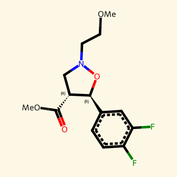 COCCN1C[C@@H](C(=O)OC)[C@H](c2ccc(F)c(F)c2)O1